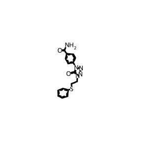 NC(=O)c1ccc(-n2nnn(CCSc3ccccc3)c2=O)cc1